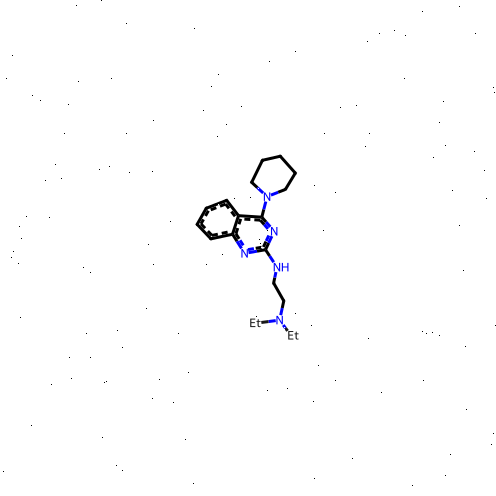 CCN(CC)CCNc1nc(N2CCCCC2)c2ccccc2n1